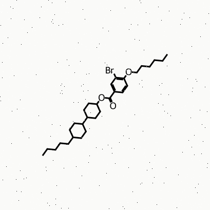 CCCCCCOc1ccc(C(=O)OC2CCC(C3CCC(CCCCC)CC3)CC2)cc1Br